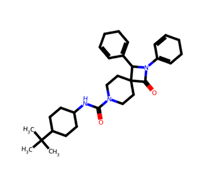 CC(C)(C)C1CCC(NC(=O)N2CCC3(CC2)C(=O)N(C2=CCCC=C2)C3C2=CCCC=C2)CC1